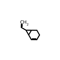 C=CC1C2C=CCCC12